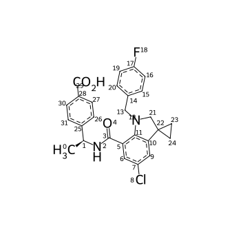 C[C@H](NC(=O)c1cc(Cl)cc2c1N(Cc1ccc(F)cc1)CC21CC1)c1ccc(C(=O)O)cc1